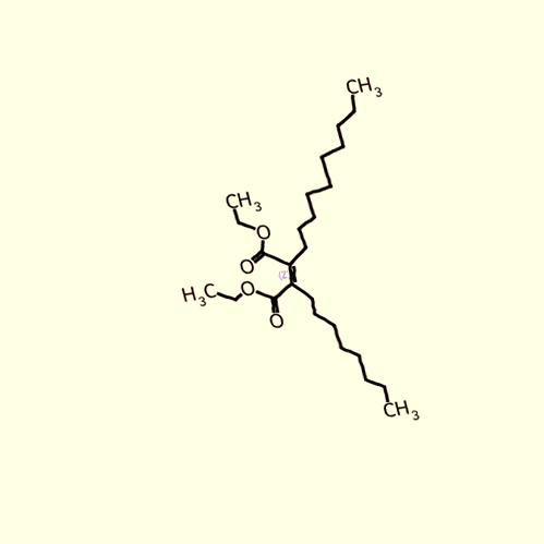 CCCCCCCCCC/C(C(=O)OCC)=C(\CCCCCCCC)C(=O)OCC